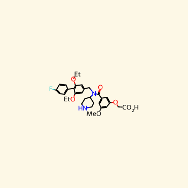 CCOc1cc(CN(C(=O)c2cc(OC)cc(OCC(=O)O)c2)C2CCNCC2)cc(OCC)c1-c1ccc(F)cc1